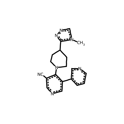 Cn1cnnc1C1CCN(c2c(C#N)cncc2-c2cccnc2)CC1